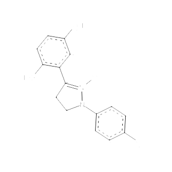 [O-][N+]1=C(c2cc(O)ccc2O)CCN1c1ccc(C(F)(F)F)cc1